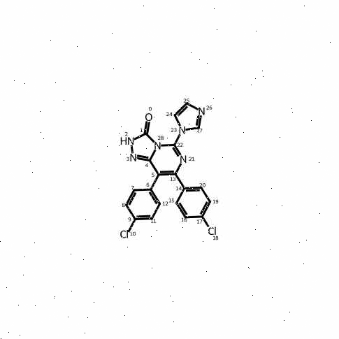 O=c1[nH]nc2c(-c3ccc(Cl)cc3)c(-c3ccc(Cl)cc3)nc(-n3ccnc3)n12